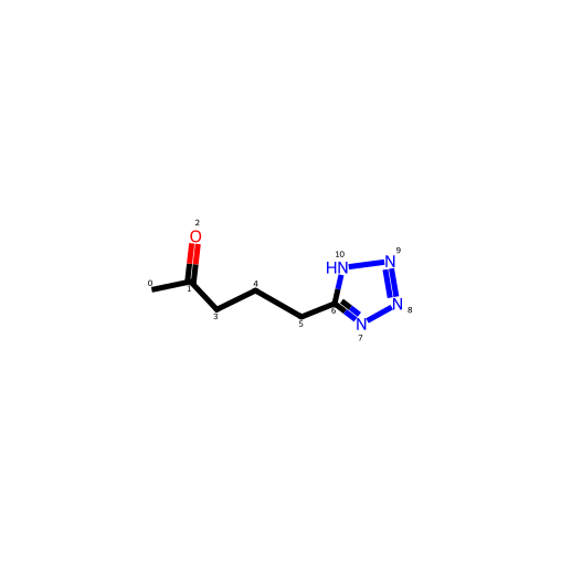 CC(=O)CCCc1nnn[nH]1